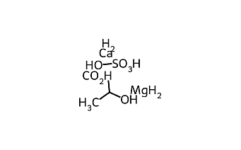 CC(O)C(=O)O.O=S(=O)(O)O.[CaH2].[MgH2]